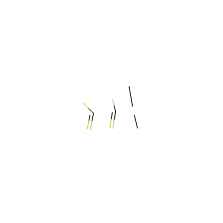 S=C[S-].S=C[S-].[CH3][Sn+2][CH3]